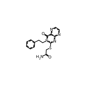 NC(=O)CSc1nc2nccnc2c(=O)n1CCc1ccccc1